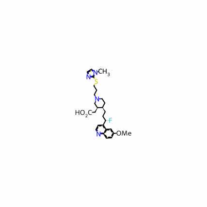 COc1ccc2nccc([C@@H](F)CC[C@@H]3CCN(CCCSc4nccn4C)C[C@@H]3CC(=O)O)c2c1